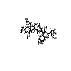 CCn1nccc1C(=O)NC(c1cn2ncc(C(COC)N3CC(F)(F)CNC3=O)cc2n1)C1CCC(F)(F)CC1